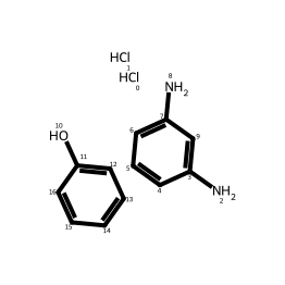 Cl.Cl.Nc1cccc(N)c1.Oc1ccccc1